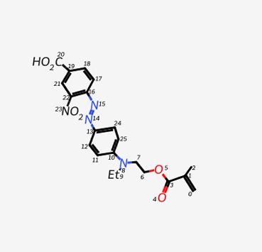 C=C(C)C(=O)OCCN(CC)c1ccc(N=Nc2ccc(C(=O)O)cc2[N+](=O)[O-])cc1